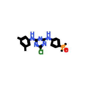 Cc1cc(C)cc(Nc2nc(Cl)nc(Nc3ccc(P(C)(C)=O)cc3)n2)c1